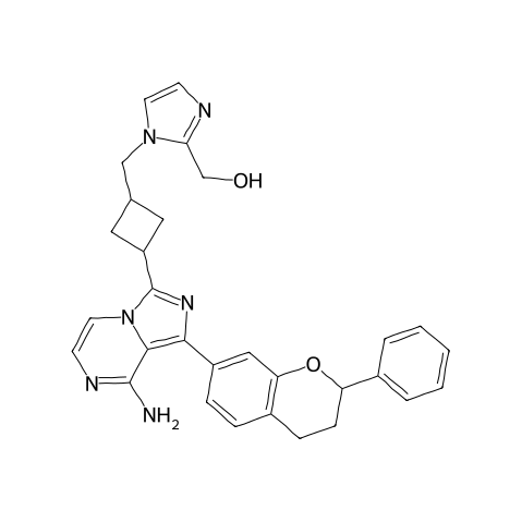 Nc1nccn2c(C3CC(Cn4ccnc4CO)C3)nc(-c3ccc4c(c3)OC(c3ccccc3)CC4)c12